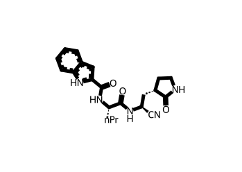 CCC[C@H](NC(=O)c1cc2ccccc2[nH]1)C(=O)N[C@H](C#N)C[C@@H]1CCNC1=O